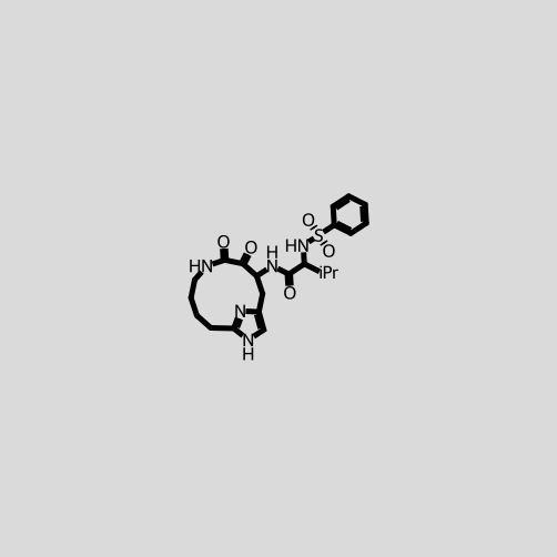 CC(C)C(NS(=O)(=O)c1ccccc1)C(=O)NC1Cc2c[nH]c(n2)CCCCNC(=O)C1=O